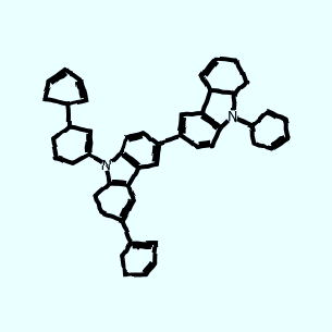 C1=CCCC(C2=Cc3c(n(C4=CC(C5C=CC=CC5)CCC4)c4ccc(-c5ccc6c(c5)C5C=CCCC5N6C5CC=CCC5)cc34)CC2)=C1